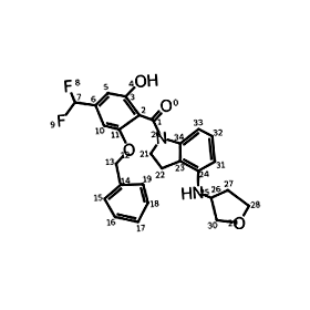 O=C(c1c(O)cc(C(F)F)cc1OCc1ccccc1)N1CCc2c(NC3CCOC3)cccc21